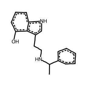 CC(NCCc1c[nH]c2cccc(O)c12)c1ccccc1